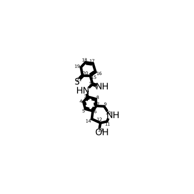 N=C(Nc1ccc2c(c1)CNCC(O)C2)C1=CC=CCC1=S